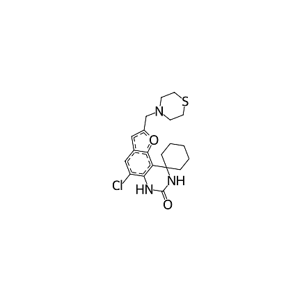 O=C1Nc2c(Cl)cc3cc(CN4CCSCC4)oc3c2C2(CCCCC2)N1